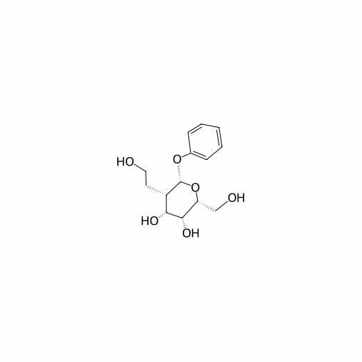 OCC[C@@H]1[C@H](Oc2ccccc2)O[C@H](CO)[C@H](O)[C@@H]1O